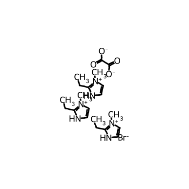 CCc1[nH]cc[n+]1C.CCc1[nH]cc[n+]1C.CCc1[nH]cc[n+]1C.O=C([O-])C(=O)[O-].[Br-]